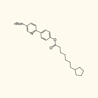 CCCCCCCCCc1ccc(-c2ccc(OC(=O)CCCCCCC3CCCC3)cc2)nc1